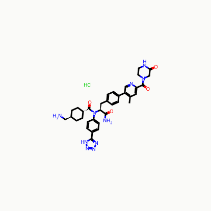 Cc1cc(C(=O)N2CCNC(=O)C2)ncc1-c1ccc(C[C@@H](C(N)=O)N(c2ccc(-c3nnn[nH]3)cc2)C(=O)[C@H]2CC[C@H](CN)CC2)cc1.Cl